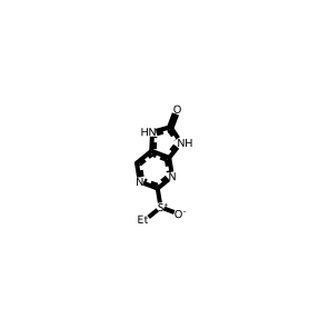 CC[S+]([O-])c1ncc2[nH]c(=O)[nH]c2n1